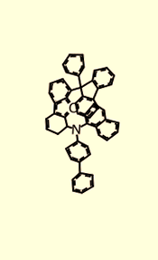 C1=Cc2c(oc3c(C4(c5ccccc5)c5ccccc5-c5ccccc54)cccc23)C(N(c2ccc(-c3ccccc3)cc2)c2cccc3ccccc23)C1